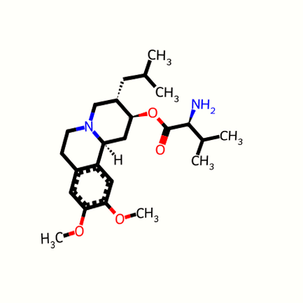 COc1cc2c(cc1OC)[C@@H]1C[C@H](OC(=O)[C@@H](N)C(C)C)[C@@H](CC(C)C)CN1CC2